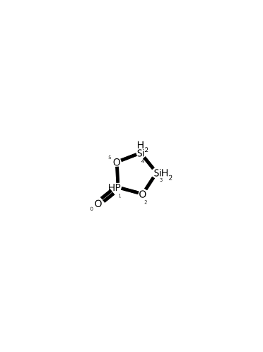 O=[PH]1O[SiH2][SiH2]O1